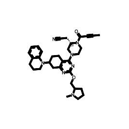 CC#CC(=O)N1CCN(c2nc(OCC3CCCN3C)nc3c2CCC(N2CCCc4ccccc42)C3)C[C@@H]1CC#N